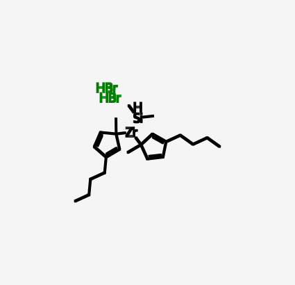 Br.Br.CCCCC1=C[C](C)([Zr]([SiH](C)C)[C]2(C)C=CC(CCCC)=C2)C=C1